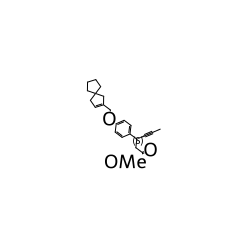 CC#C[C@@H](CC(=O)OC)c1ccc(OCC2=CCC3(CCCC3)C2)cc1